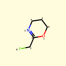 FCC1=NCCCO1